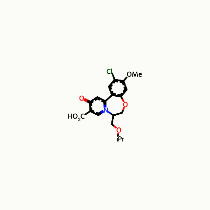 COc1cc2c(cc1Cl)-c1cc(=O)c(C(=O)O)cn1C(COC(C)C)CO2